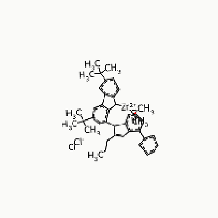 CCCC1=Cc2c(-c3ccccc3)cccc2C1c1cc(C(C)(C)C)cc2c1[CH]([Zr+2][SiH](C)C)c1ccc(C(C)(C)C)cc1-2.[Cl-].[Cl-]